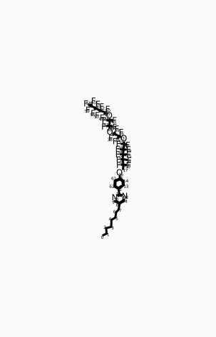 CCCCCCCCc1cnc(-c2ccc(OCC(F)(F)C(F)(F)C(F)(F)C(F)(F)C(F)(F)OC(F)(F)C(F)(F)OC(F)(F)C(F)(F)OC(F)(F)C(F)(F)C(F)(F)C(F)(F)F)cc2)nc1